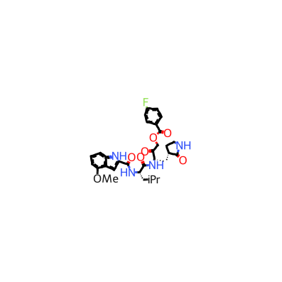 COc1cccc2[nH]c(C(=O)N[C@@H](CC(C)C)C(=O)N[C@@H](C[C@@H]3CCNC3=O)C(=O)COC(=O)c3ccc(F)cc3)cc12